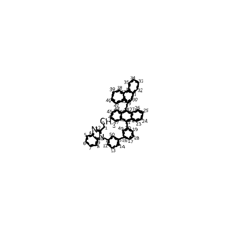 CCc1nc2ccccc2n1-c1cccc(-c2cccc(-c3c4ccccc4c(-c4cc5ccccc5c5ccccc45)c4ccccc34)c2)c1